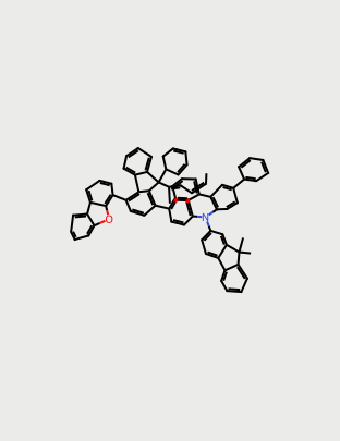 C/C=C\C=C(/C)C1(C2C=CC=CC2)c2ccccc2-c2c(-c3cccc4c3oc3ccccc34)ccc(-c3ccc(N(c4ccc5c(c4)C(C)(C)c4ccccc4-5)c4ccc(-c5ccccc5)cc4-c4ccccc4)cc3)c21